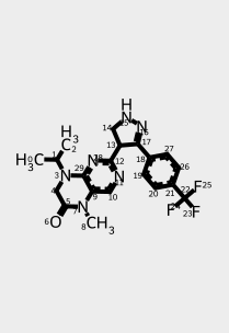 CC(C)N1CC(=O)N(C)c2cnc(C3CNN=C3c3ccc(C(F)(F)F)cc3)nc21